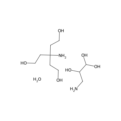 NC(CCO)(CCO)CCO.NCC(O)C(O)O.O